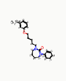 O=C1N(CCCCCOc2cccc([N+](=O)[O-])c2)CCCCN1c1ccccc1